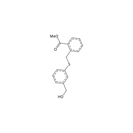 COC(=O)c1ccccc1CSc1cccc(CO)c1